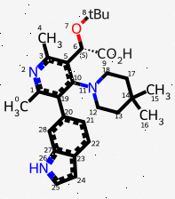 Cc1nc(C)c([C@H](OC(C)(C)C)C(=O)O)c(N2CCC(C)(C)CC2)c1-c1ccc2cc[nH]c2c1